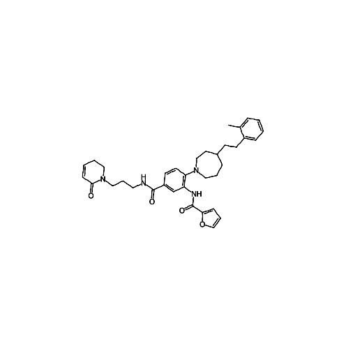 Cc1ccccc1CCC1CCCN(c2ccc(C(=O)NCCCN3CCC=CC3=O)cc2NC(=O)c2ccco2)CC1